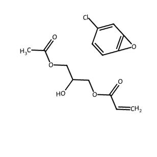 C=CC(=O)OCC(O)COC(C)=O.Clc1ccc2c(c1)O2